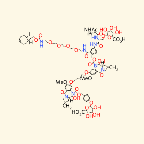 C=C1C[C@H]2[C@H](O)N(C(=O)OCc3ccc(O[C@@H]4O[C@H](C(=O)O)[C@@H](O)[C@H](O)[C@H]4O)cc3)c3cc(OCCCCCOc4cc5c(cc4OC)C(=O)N4CC(=C)C[C@H]4[C@H](O)N5C(=O)OCc4ccc(NC(=O)[C@H](CO[C@@H]5O[C@H](C(=O)O)[C@@H](O)[C@H](O)[C@H]5O)NC(=O)[C@@H](NC(C)=O)C(C)C)cc4C(=O)NCCOCCOCCOCCOCCNC(=O)OCC4[C@H]5CCC#CCC[C@@H]45)c(OC)cc3C(=O)N2C1